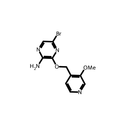 COc1cnccc1COc1nc(Br)cnc1N